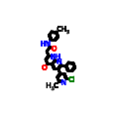 Cc1ccc(NC(=O)Cc2cc(=O)c3cc(-c4cc(C)nc(Cl)c4)c(-c4ccccc4)nc3[nH]2)cc1